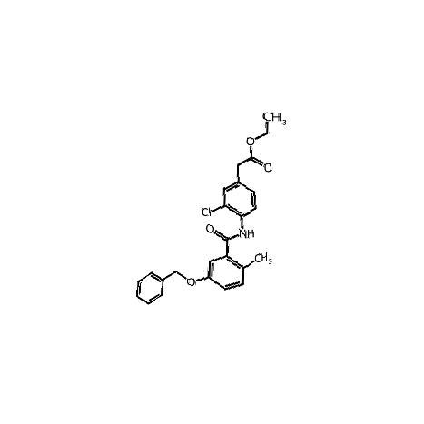 CCOC(=O)Cc1ccc(NC(=O)c2cc(OCc3ccccc3)ccc2C)c(Cl)c1